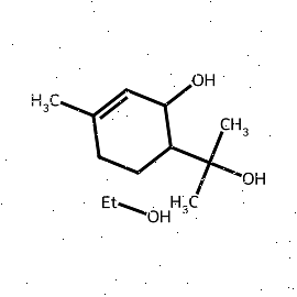 CC1=CC(O)C(C(C)(C)O)CC1.CCO